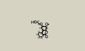 COc1cc2oc(=O)c3c(c2cc1OCCO)CCCC3